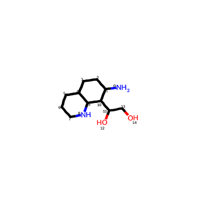 NC1CCC2CCCNC2C1C(O)CO